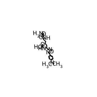 CN(C)c1ccc(-c2nc(C(CCCCNS(N)(=O)=O)NC(=O)O)no2)cc1